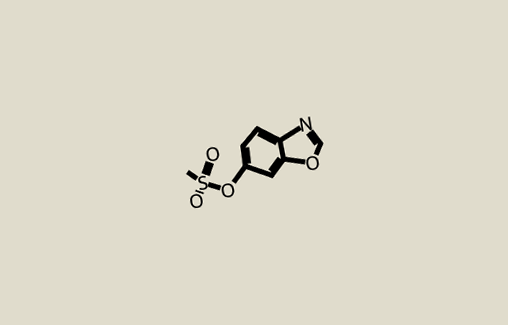 CS(=O)(=O)Oc1ccc2ncoc2c1